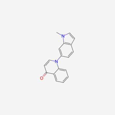 Cn1ccc2ccc(-n3ccc(=O)c4ccccc43)cc21